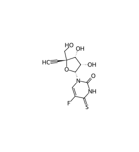 C#C[C@]1(CO)O[C@@H](n2cc(F)c(=S)[nH]c2=O)[C@@H](O)[C@H]1O